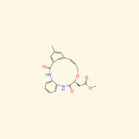 COC(=O)C[C@@H]1OC/C=C\c2cc(C)cc(c2)C(=O)Nc2ccccc2NC1=O